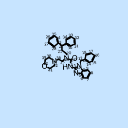 O=C(Nc1nc2ccccc2n1Cc1ccccc1)N(CCC(c1ccccc1)c1ccccc1)CCN1CCOCC1